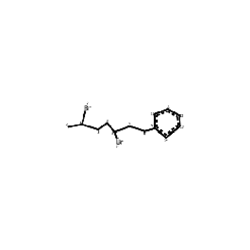 CC(Br)CCC(Br)CCc1ccccc1